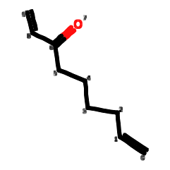 C=CCCCCC(=O)C=C